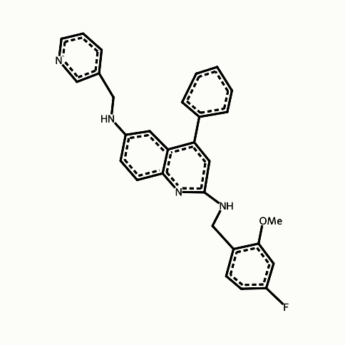 COc1cc(F)ccc1CNc1cc(-c2ccccc2)c2cc(NCc3cccnc3)ccc2n1